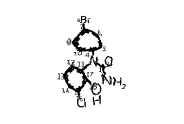 NC(=O)N(c1ccc(Br)cc1)c1cccc(Cl)c1O